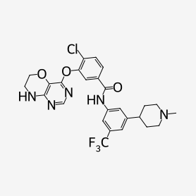 CN1CCC(c2cc(NC(=O)c3ccc(Cl)c(Oc4ncnc5c4OCCN5)c3)cc(C(F)(F)F)c2)CC1